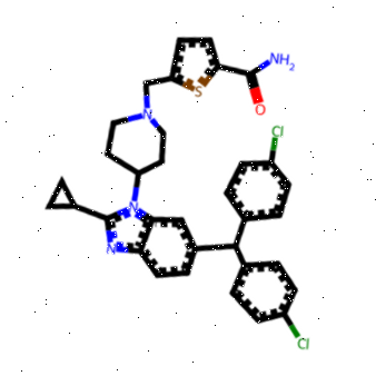 NC(=O)c1ccc(CN2CCC(n3c(C4CC4)nc4ccc(C(c5ccc(Cl)cc5)c5ccc(Cl)cc5)cc43)CC2)s1